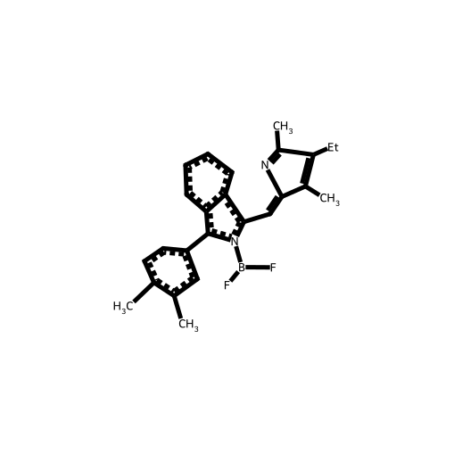 CCC1=C(C)/C(=C/c2c3ccccc3c(-c3ccc(C)c(C)c3)n2B(F)F)N=C1C